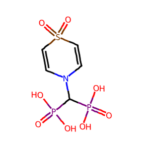 O=P(O)(O)C(N1C=CS(=O)(=O)C=C1)P(=O)(O)O